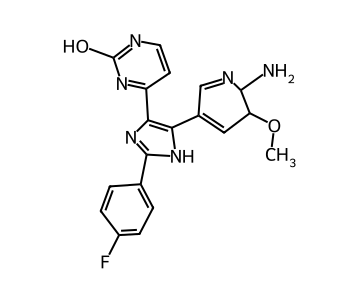 COC1C=C(c2[nH]c(-c3ccc(F)cc3)nc2-c2ccnc(O)n2)C=NC1N